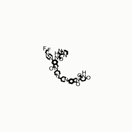 O=C1CCC(N2Cc3cc(N4CCC(CN5CCC(N6Cc7cc(NC(=O)c8cnn9cccnc89)c(N8CCN(CC(F)F)CC8)cc7C6=O)CC5)CC4)ccc3C2=O)C(=O)N1